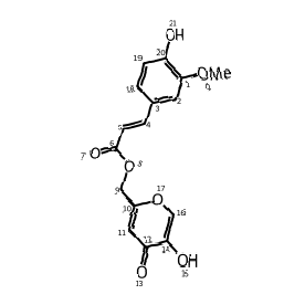 COc1cc(C=CC(=O)OCc2cc(=O)c(O)co2)ccc1O